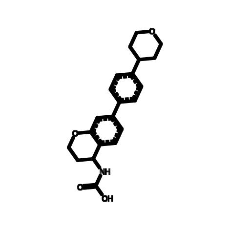 O=C(O)NC1CCOc2cc(-c3ccc(C4CCOCC4)cc3)ccc21